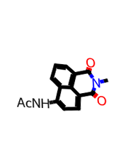 CC(=O)Nc1ccc2c3c(cccc13)C(=O)N(C)C2=O